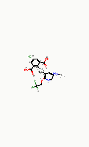 CNc1cnc(OCC(F)(F)F)c(C)c1.Cc1c(C(=O)O)cccc1C(=O)O.Cl